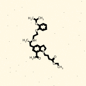 CCOC(=O)CCCN1CCc2cc(C[C@@H](C)NCCOc3ccccc3OC(C)C)cc(C(N)=O)c21